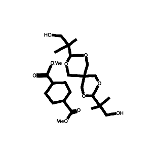 CC(C)(CO)C1OCC2(CO1)COC(C(C)(C)CO)OC2.COC(=O)C1CCC(C(=O)OC)CC1